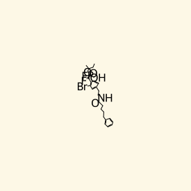 CCC(C)OP(=O)(O)C(F)(F)c1ccc(CCNC(=O)CCCCc2ccccc2)cc1Br